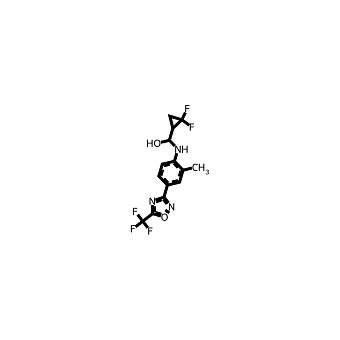 Cc1cc(-c2noc(C(F)(F)F)n2)ccc1NC(O)C1CC1(F)F